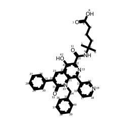 CC(C)(CCCC(=O)O)NC(=O)c1nc(-c2cccnc2)c2c(cc(-c3ccccc3)c(=O)n2Cc2ccccc2)c1O